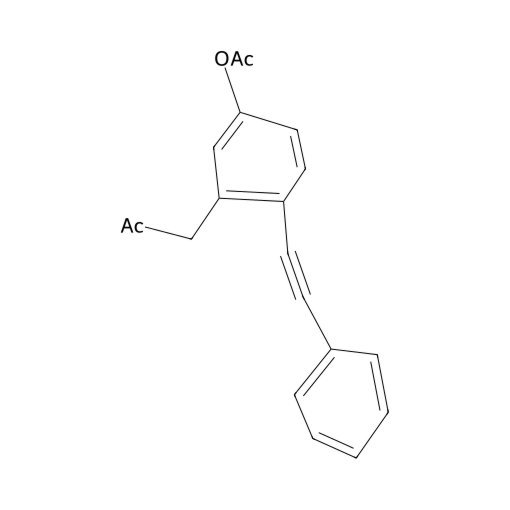 CC(=O)Cc1cc(OC(C)=O)ccc1C#Cc1ccccc1